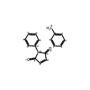 Cc1ccccc1.O=C1C=CC(=O)N1c1ccccc1